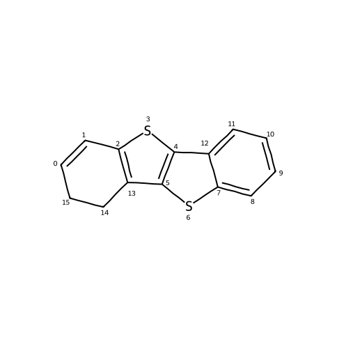 C1=Cc2sc3c(sc4ccccc43)c2CC1